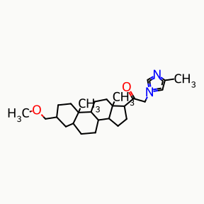 COCC1CCC2(C)C(CCC3C2CCC2(C)C(C(=O)Cn4cnc(C)c4)CCC32)C1